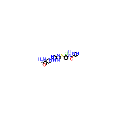 C[C@@H]1OCC2(CCN(c3ncc4nc(Sc5cccc(NC(=O)c6ccncn6)c5Cl)cnc4n3)CC2)[C@@H]1N